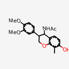 COc1ccc(C2COc3c(ccc(O)c3C)C2NC(C)=O)cc1OC